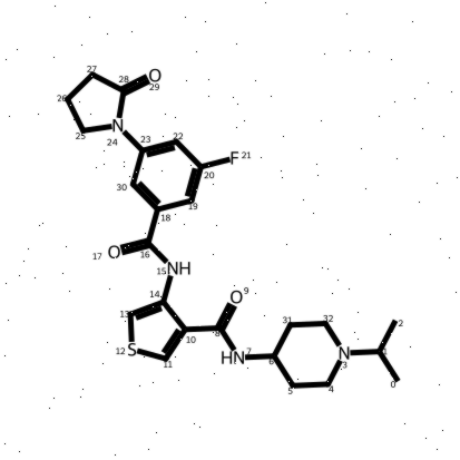 CC(C)N1CCC(NC(=O)c2cscc2NC(=O)c2cc(F)cc(N3CCCC3=O)c2)CC1